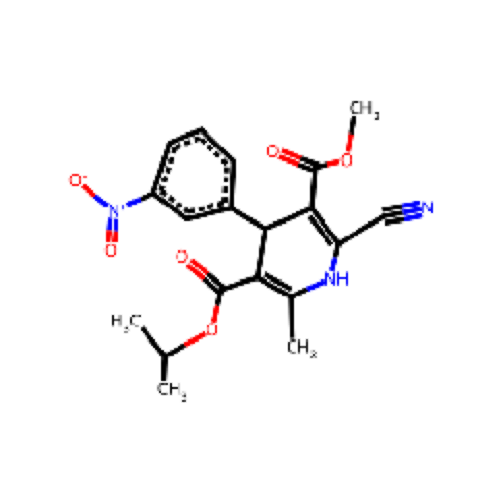 COC(=O)C1=C(C#N)NC(C)=C(C(=O)OC(C)C)C1c1cccc([N+](=O)[O-])c1